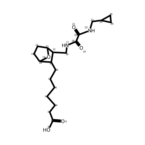 O=C(O)CCCCCCC1C2CCC(O2)C1CNC(=O)C(=O)NCC1CC1